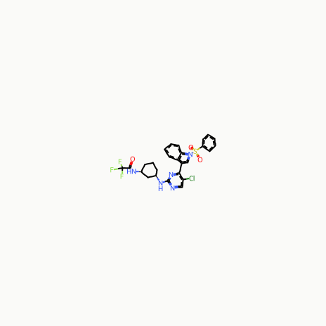 O=C(N[C@H]1CCC[C@@H](Nc2ncc(Cl)c(-c3cn(S(=O)(=O)c4ccccc4)c4ccccc34)n2)C1)C(F)(F)F